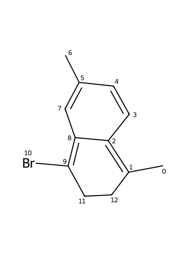 CC1=c2ccc(C)cc2=C(Br)CC1